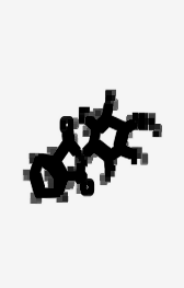 Nc1c(F)c(F)c(N2C(=O)C3C4C=CC(CC4)C3C2=O)c(F)c1F